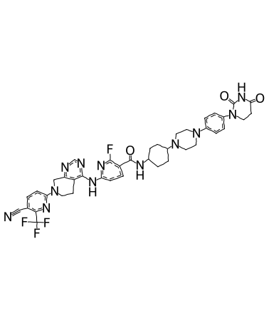 N#Cc1ccc(N2CCc3c(ncnc3Nc3ccc(C(=O)NC4CCC(N5CCN(c6ccc(N7CCC(=O)NC7=O)cc6)CC5)CC4)c(F)n3)C2)nc1C(F)(F)F